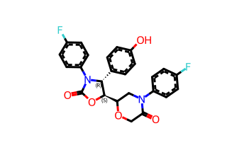 O=C1COC([C@H]2OC(=O)N(c3ccc(F)cc3)[C@@H]2c2ccc(O)cc2)CN1c1ccc(F)cc1